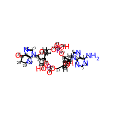 Nc1ncnc2c1ncn2[C@@H]1O[C@@H]2COP(=O)(O)O[C@H]3C[C@H](n4cnc5c4N=CCC5=O)O[C@@H]3COP(=O)(O)O[C@@H]1[C@@H]2O